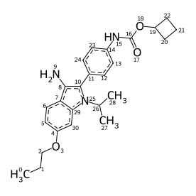 CCCOc1ccc2c(N)c(-c3ccc(NC(=O)OC4CCC4)cc3)n(C(C)C)c2c1